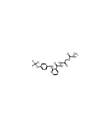 CNC(=O)OCC(=O)NNC(=O)c1cccnc1Nc1ccc(OC(F)(F)Cl)cc1